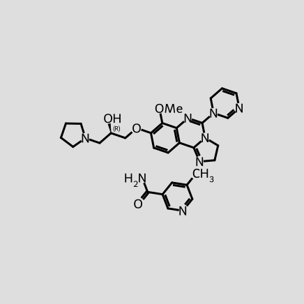 COc1c(OC[C@H](O)CN2CCCC2)ccc2c1N=C(N1C=NC=CC1)N1CCN=C21.Cc1cncc(C(N)=O)c1